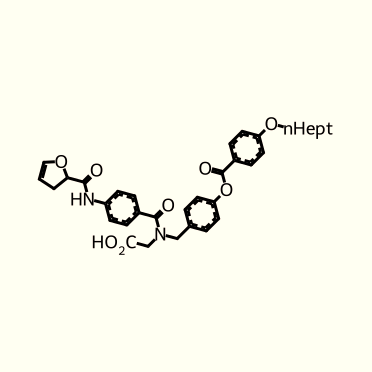 CCCCCCCOc1ccc(C(=O)Oc2ccc(CN(CC(=O)O)C(=O)c3ccc(NC(=O)C4CC=CO4)cc3)cc2)cc1